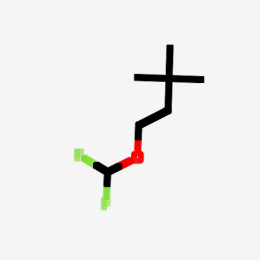 CC(C)(C)CCOC(F)F